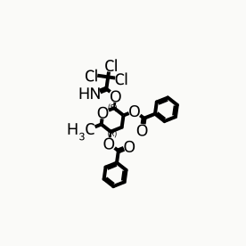 CC1O[C@@H](OC(=N)C(Cl)(Cl)Cl)C(OC(=O)c2ccccc2)C[C@H]1OC(=O)c1ccccc1